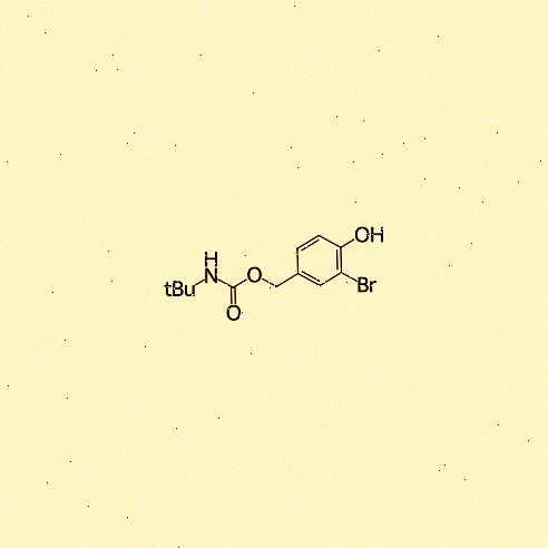 CC(C)(C)NC(=O)OCc1ccc(O)c(Br)c1